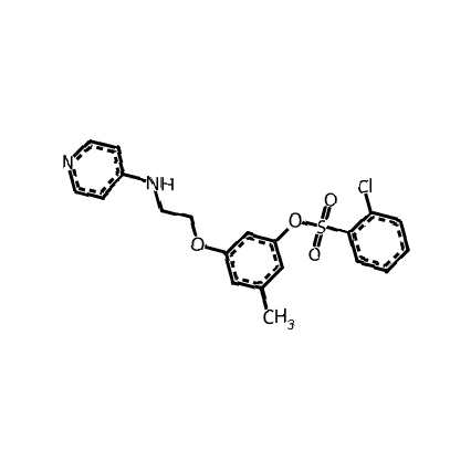 Cc1cc(OCCNc2ccncc2)cc(OS(=O)(=O)c2ccccc2Cl)c1